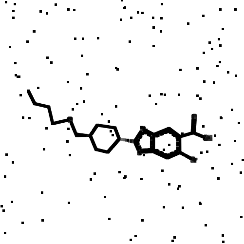 CCCCOC[C@H]1CC[C@H](c2nc3cc(C(=O)O)c(Br)cc3s2)CC1